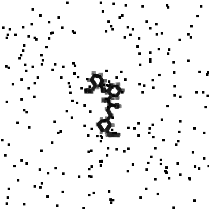 COc1cccc(/C=C/C(=O)Nc2cccnc2Oc2ccccc2C(C)(C)C)c1